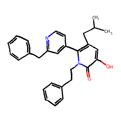 CC(C)Cc1cc(O)c(=O)n(CCc2ccccc2)c1-c1ccnc(Cc2ccccc2)c1